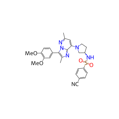 COc1ccc(-c2c(C)nc3c(N4CC[C@@H](NS(=O)(=O)c5ccc(C#N)cc5)C4)cc(C)nn23)cc1OC